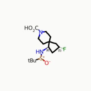 CC(C)(C)[S+]([O-])N[C@@H]1C[C@@H](F)CC12CCN(C(=O)O)CC2